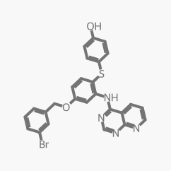 Oc1ccc(Sc2ccc(OCc3cccc(Br)c3)cc2Nc2ncnc3ncccc23)cc1